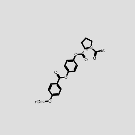 CCCCCCCCCCOc1ccc(C(=O)Oc2ccc(OC(=O)[C@@H]3CCCN3C(=O)CC)cc2)cc1